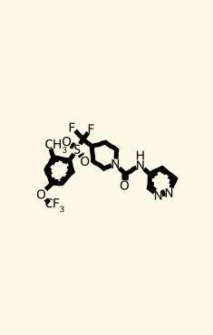 Cc1cc(OC(F)(F)F)ccc1S(=O)(=O)C(F)(F)C1CCN(C(=O)Nc2ccnnc2)CC1